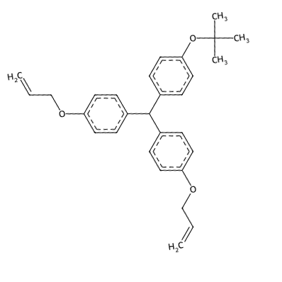 C=CCOc1ccc(C(c2ccc(OCC=C)cc2)c2ccc(OC(C)(C)C)cc2)cc1